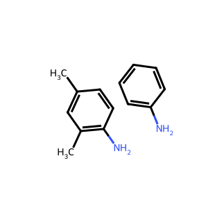 Cc1ccc(N)c(C)c1.Nc1ccccc1